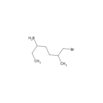 BC(CC)CCC(C)CBr